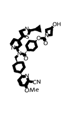 COc1ccc([C@H]2CC[C@H](CN(c3cc(-c4cnc(C5CC5)s4)ccn3)C(=O)[C@H]3CC[C@H](OC(=O)N4CC(O)C4)CC3)CC2)nc1C#N